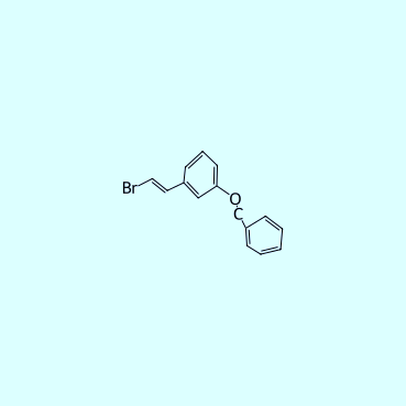 BrC=Cc1cccc(OCc2ccccc2)c1